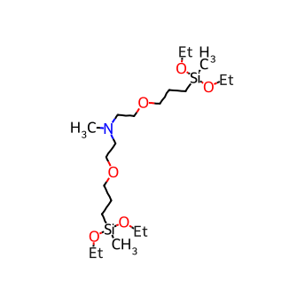 CCO[Si](C)(CCCOCCN(C)CCOCCC[Si](C)(OCC)OCC)OCC